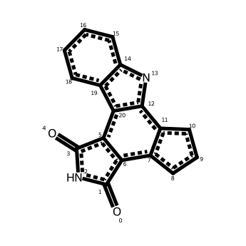 O=c1[nH]c(=O)c2c1c1cccc1c1nc3ccccc3c12